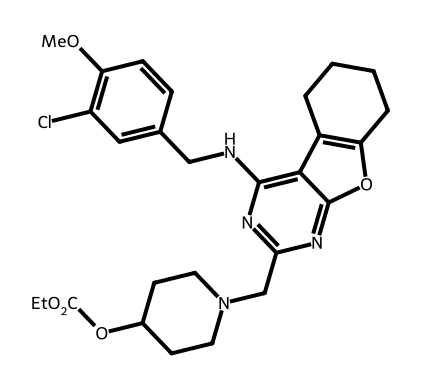 CCOC(=O)OC1CCN(Cc2nc(NCc3ccc(OC)c(Cl)c3)c3c4c(oc3n2)CCCC4)CC1